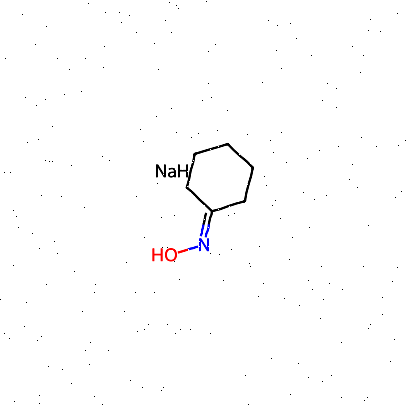 ON=C1CCCCC1.[NaH]